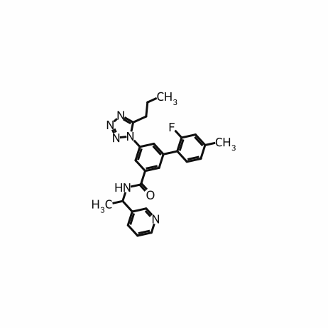 CCCc1nnnn1-c1cc(C(=O)NC(C)c2cccnc2)cc(-c2ccc(C)cc2F)c1